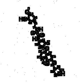 COc1ccc(CCNC(=O)C(=O)Nc2ccc(Oc3ccnc4c(OC)c(OCC5CCNCC5)ccc34)c(F)c2)cc1O